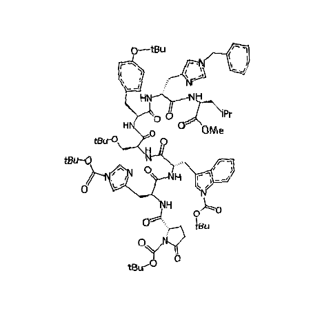 COC(=O)[C@H](CC(C)C)NC(=O)[C@@H](Cc1cn(Cc2ccccc2)cn1)NC(=O)[C@H](Cc1ccc(OC(C)(C)C)cc1)NC(=O)[C@H](COC(C)(C)C)NC(=O)[C@H](Cc1cn(C(=O)OC(C)(C)C)c2ccccc12)NC(=O)[C@H](Cc1cn(C(=O)OC(C)(C)C)cn1)NC(=O)[C@@H]1CCC(=O)N1C(=O)OC(C)(C)C